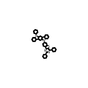 c1ccc(-c2nc(-c3ccccc3)c3sc4cc(-n5c6ccccc6c6cc7c(cc65)c5ccccc5n7-c5ccccc5)ccc4c3n2)cc1